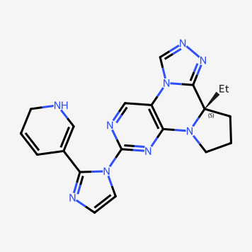 CC[C@@]12CCCN1c1nc(-n3ccnc3C3=CNCC=C3)ncc1-n1cnnc12